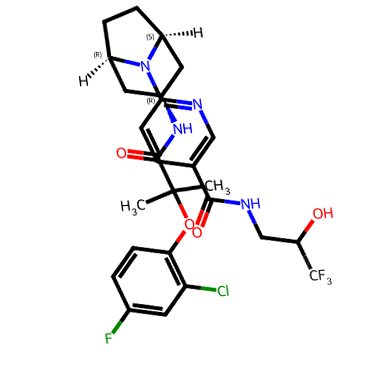 CC(C)(Oc1ccc(F)cc1Cl)C(=O)N[C@H]1C[C@H]2CC[C@@H](C1)N2c1ccc(C(=O)NCC(O)C(F)(F)F)cn1